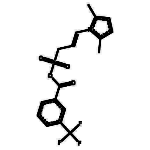 Cc1ccc(C)n1C=CCS(=O)(=O)OC(=O)c1cccc(C(F)(F)F)c1